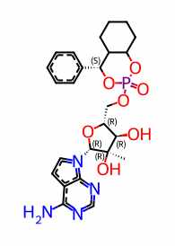 C[C@@]1(O)[C@H](O)[C@@H](COP2(=O)OC3CCCCC3[C@@H](c3ccccc3)O2)O[C@H]1n1ccc2c(N)ncnc21